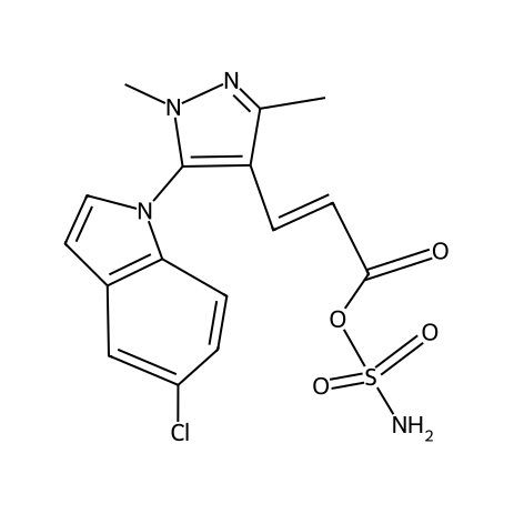 Cc1nn(C)c(-n2ccc3cc(Cl)ccc32)c1C=CC(=O)OS(N)(=O)=O